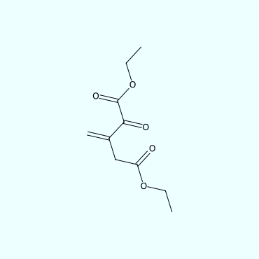 C=C(CC(=O)OCC)C(=O)C(=O)OCC